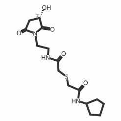 O=C(CSCC(=O)NC1CCCC1)NCCN1C(=O)C[C@H](O)C1=O